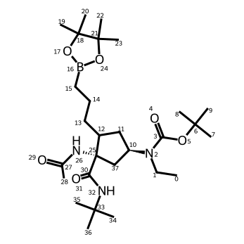 CCN(C(=O)OC(C)(C)C)[C@@H]1CC(CCCB2OC(C)(C)C(C)(C)O2)[C@](NC(C)=O)(C(=O)NC(C)(C)C)C1